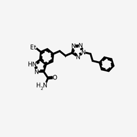 CCc1cc(C[CH]c2nnn(CCc3ccccc3)n2)cc2c(C(N)=O)n[nH]c12